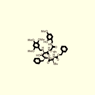 COc1ccc(CNC(=O)[C@@H](NC(=O)[C@H](NCc2cc(OC)c(OC)cc2OC)[C@H](O)[C@H](Cc2ccccc2)NC(=O)[C@@H](NC(=O)OCc2ccccc2)C(C)(C)C)C(C)C)c(O)c1